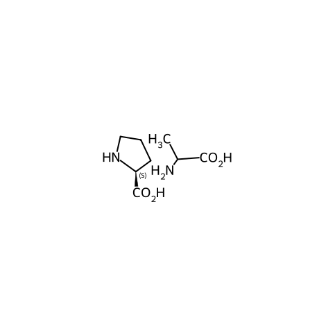 CC(N)C(=O)O.O=C(O)[C@@H]1CCCN1